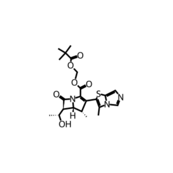 Cc1c(C2=C(C(=O)OCOC(=O)C(C)(C)C)N3C(=O)[C@H]([C@@H](C)O)[C@H]3[C@H]2C)sc2cncn12